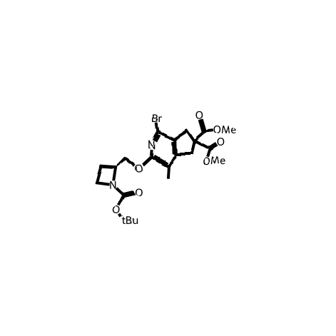 COC(=O)C1(C(=O)OC)Cc2c(Br)nc(OC[C@@H]3CCN3C(=O)OC(C)(C)C)c(C)c2C1